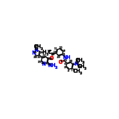 Cc1ccc(C(=O)Nc2cccc([C@@H](C)Oc3cc(-c4cnn(C)c4)cnc3N)c2)cc1N(C)C